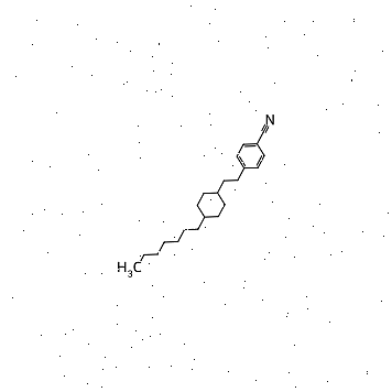 CCCCCCCC1CCC(CCc2ccc(C#N)cc2)CC1